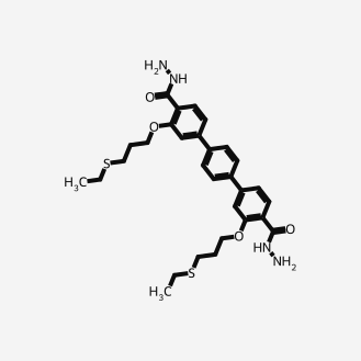 CCSCCCOc1cc(-c2ccc(-c3ccc(C(=O)NN)c(OCCCSCC)c3)cc2)ccc1C(=O)NN